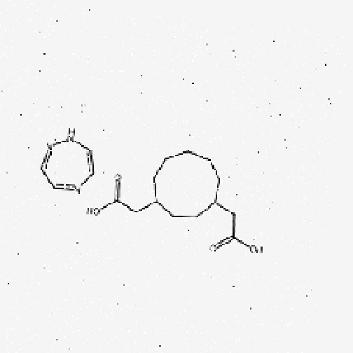 C1=CNN=CC=N1.O=C(O)CC1CCCCCC(CC(=O)O)CC1